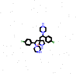 O=C1NCCC1(CC(c1ccc(F)cc1)N1CCNCC1)CC(c1ccc(F)cc1)N1CCNCC1